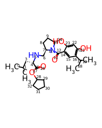 CC(C)C[C@H](NC[C@H]1CCCN1C(=O)c1cc(C(C)C)c(O)cc1O)C(=O)OC1CCCC1